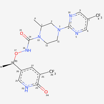 CC1CN(c2ncc(C(F)(F)F)cn2)CCN1C(=O)NO[C@H](C)c1c[nH]c(=O)c(C(F)(F)F)c1